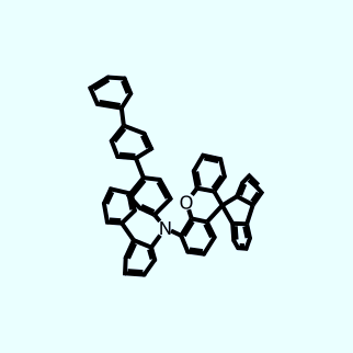 c1ccc(-c2ccc(-c3ccc(N(c4ccccc4-c4ccccc4)c4cccc5c4Oc4ccccc4C54c5ccccc5-c5ccccc54)cc3)cc2)cc1